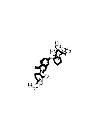 C=C1CCC(N2Cc3cc(C[C@H]4CCCC[C@@H]4N[C@@H](C)C(C)(C)F)ccc3C2=O)C(=O)N1